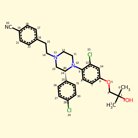 CC(C)(O)COc1ccc(N2CCN(CCc3ccc(C#N)cc3)C[C@H]2c2ccc(Cl)cc2)c(Cl)c1